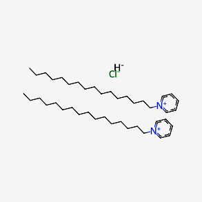 CCCCCCCCCCCCCCCC[n+]1ccccc1.CCCCCCCCCCCCCCCC[n+]1ccccc1.[Cl-].[H-]